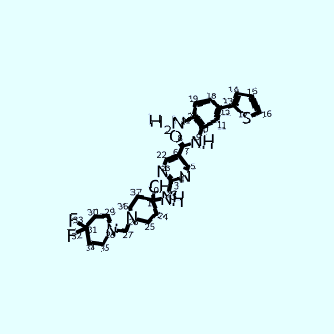 CC1(Nc2ncc(C(=O)Nc3cc(-c4cccs4)ccc3N)cn2)CCN(CN2CCC(F)(F)CC2)CC1